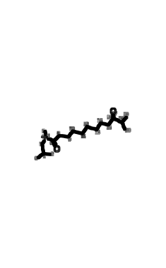 CC(C)CN(C)C(=O)CCCCCCCCC(=O)C(C)C